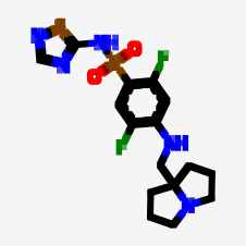 O=S(=O)(Nc1ncns1)c1cc(F)c(NCC23CCCN2CCC3)cc1F